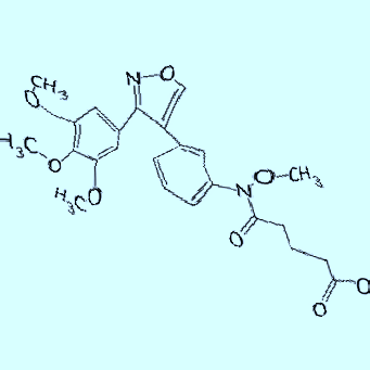 COc1cc(-c2nocc2-c2cccc(N(OC)C(=O)CCCC(=O)O)c2)cc(OC)c1OC